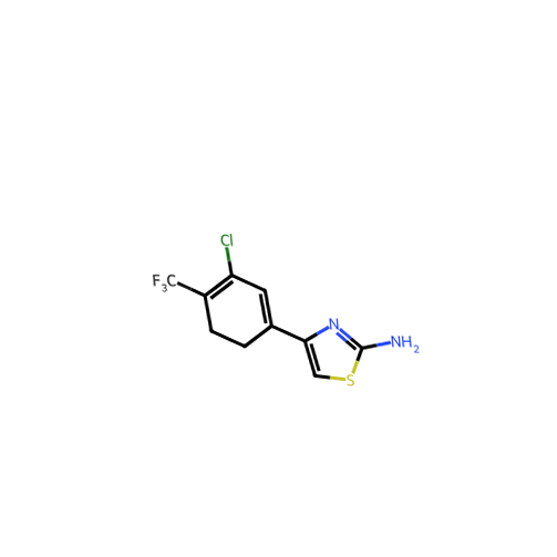 Nc1nc(C2=CC(Cl)=C(C(F)(F)F)CC2)cs1